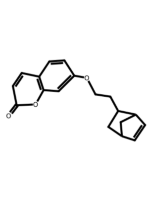 O=c1ccc2ccc(OCCC3CC4C=CC3C4)cc2o1